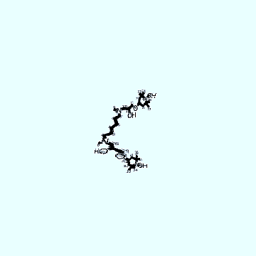 CN(CCCCCCN(C)CC(O)COC1CC(C)(C)N(O)C(C)(C)C1)CC(O)COC1CC(C)(C)N(O)C(C)(C)C1